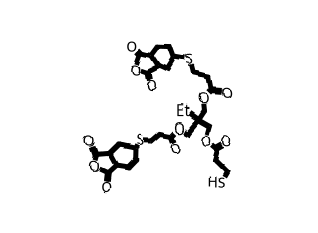 CCC(COC(=O)CCS)(COC(=O)CCSC1CCC2C(=O)OC(=O)C2C1)COC(=O)CCSC1CCC2C(=O)OC(=O)C2C1